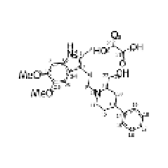 COc1cc2[nH]c(C)c(CCN3CCC(c4ccccc4)CC3CO)c2cc1OC.O=C(O)C(=O)O